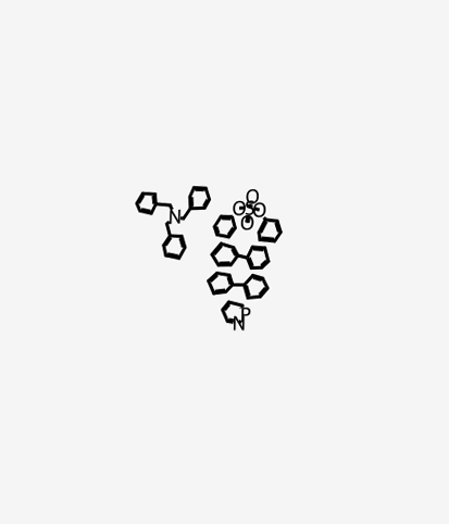 O=S(=O)(Oc1ccccc1)Oc1ccccc1.c1ccc(-c2ccccc2)cc1.c1ccc(-c2ccccc2)cc1.c1ccc(CN(Cc2ccccc2)Cc2ccccc2)cc1.c1ccpnc1